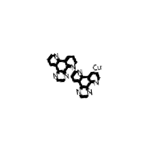 [Cu].c1cnc2c(c1)c1ncccc1c1nccnc21.c1cnc2c(c1)c1ncccc1c1nccnc21